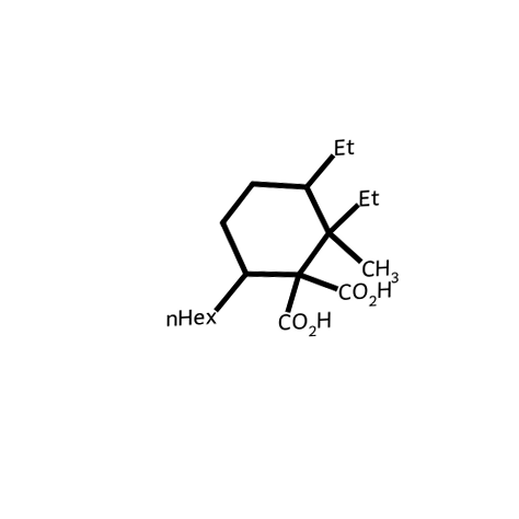 CCCCCCC1CCC(CC)C(C)(CC)C1(C(=O)O)C(=O)O